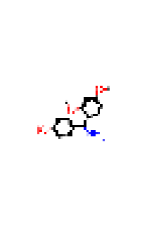 COc1ccc(C(N)c2ccc(O)cc2)c(OC)c1